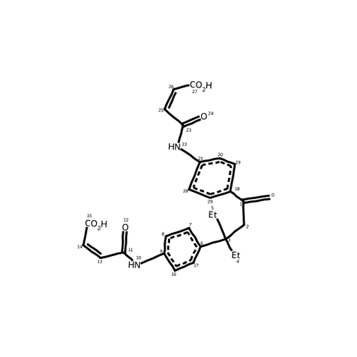 C=C(CC(CC)(CC)c1ccc(NC(=O)/C=C\C(=O)O)cc1)c1ccc(NC(=O)/C=C\C(=O)O)cc1